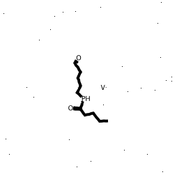 CCCCC(=O)PCCCCC=O.[V]